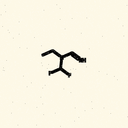 CCN(C=N)C(F)F